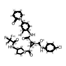 O=C(Nc1ccc(Cl)cc1)[C@@H]1[C@H](C(=O)Nc2ccc(-n3ccccc3=O)cc2F)[C@H]1C(=O)N1CCC(NC(=O)C(F)(F)F)C1